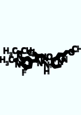 COCc1cc2n(n1)CC[C@H](Nc1ncc(Cl)c(-c3cc(F)c4nc(C)n(C(C)C)c4c3)n1)[C@H]2O